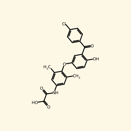 Cc1cc(NC(=O)C(=O)O)cc(C)c1Oc1ccc(O)c(C(=O)c2ccc(Cl)cc2)c1